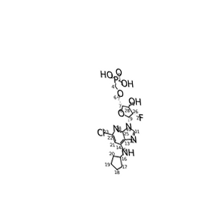 O=P(O)(O)COC[C@H]1O[C@@H](n2cnc3c(NC4CCCC4)cc(Cl)nc32)[C@@H](F)[C@@H]1O